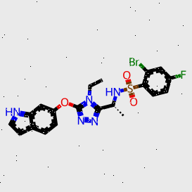 CCn1c(Oc2ccc3cc[nH]c3c2)nnc1[C@@H](C)NS(=O)(=O)c1ccc(F)cc1Br